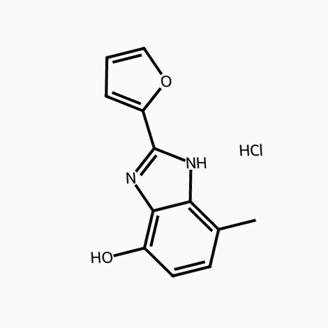 Cc1ccc(O)c2nc(-c3ccco3)[nH]c12.Cl